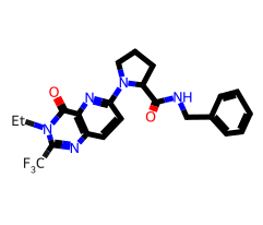 CCn1c(C(F)(F)F)nc2ccc(N3CCCC3C(=O)NCc3ccccc3)nc2c1=O